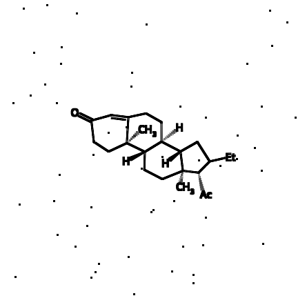 CCC1C[C@H]2[C@@H]3CCC4=CC(=O)CC[C@]4(C)[C@H]3CC[C@]2(C)[C@H]1C(C)=O